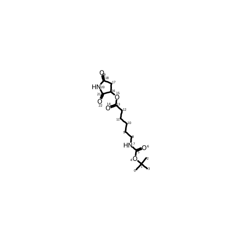 CC(C)(C)OC(=O)NCCCCCC(=O)OC1CC(=O)NC1=O